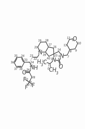 CC(C)N1C(=O)N(CC2CCOCC2)CC12CC1CCCN(CC[C@H](NC(=O)CC(F)(F)F)c3ccccc3)C1C2